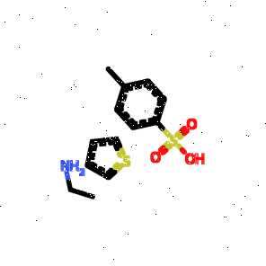 CCN.Cc1ccc(S(=O)(=O)O)cc1.c1ccsc1